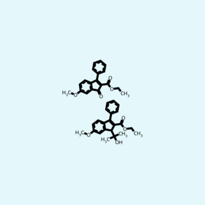 CCOC(=O)C1=C(c2ccccc2)c2ccc(OC)cc2C1=O.CCOC(=O)C1=C(c2ccccc2)c2ccc(OC)cc2C1C(C)(C)O